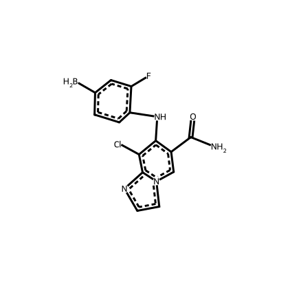 Bc1ccc(Nc2c(C(N)=O)cn3ccnc3c2Cl)c(F)c1